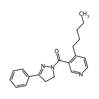 CCCCCc1ccncc1C(=O)N1CCC(c2ccccc2)=N1